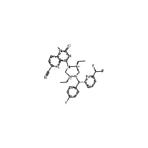 CC[C@H]1CN(C(c2ccc(F)cc2)c2cccc(C(F)F)n2)[C@@H](CC)CN1c1nc(=O)n(C)c2ccc(C#N)nc12